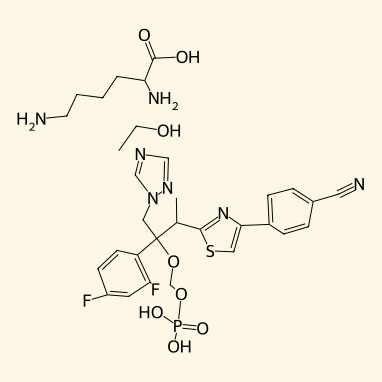 CC(c1nc(-c2ccc(C#N)cc2)cs1)C(Cn1cncn1)(OCOP(=O)(O)O)c1ccc(F)cc1F.CCO.NCCCCC(N)C(=O)O